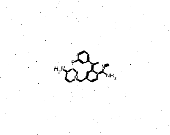 C=N/C(N)=c1/ccc(CN2CCC(N)CC2)c/c1=C(/C)c1cccc(F)c1